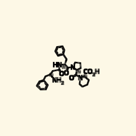 N[C@H](CC(=O)N[C@@H](Cc1ccccc1)C(=O)N1CCC[C@H]1C(=O)N1CCCC[C@H]1C(=O)O)Cc1ccccc1